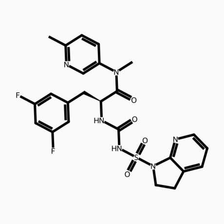 Cc1ccc(N(C)C(=O)[C@H](Cc2cc(F)cc(F)c2)NC(=O)NS(=O)(=O)N2CCc3cccnc32)cn1